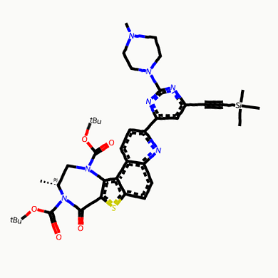 C[C@@H]1CN(C(=O)OC(C)(C)C)c2c(sc3ccc4nc(-c5cc(C#C[Si](C)(C)C)nc(N6CCN(C)CC6)n5)ccc4c23)C(=O)N1C(=O)OC(C)(C)C